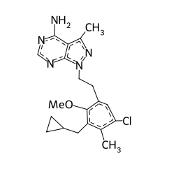 COc1c(CCn2nc(C)c3c(N)ncnc32)cc(Cl)c(C)c1CC1CC1